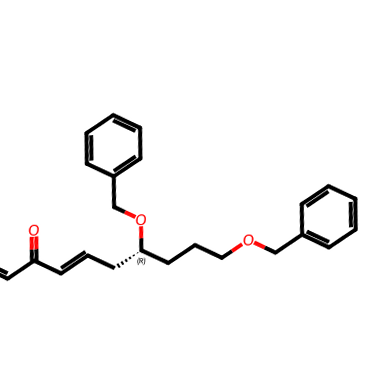 C=CC(=O)C=CC[C@@H](CCCOCc1ccccc1)OCc1ccccc1